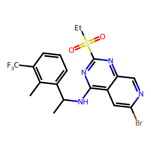 CCS(=O)(=O)c1nc(NC(C)c2cccc(C(F)(F)F)c2C)c2cc(Br)ncc2n1